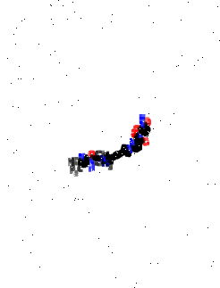 CC(C)(C(=O)Nc1cnc(C#N)c(C(F)(F)F)c1)n1cc(C#CC2CN(c3ccc4c(n3)C(=O)N(C3CCC(=O)NC3=O)C4=O)C2)cn1